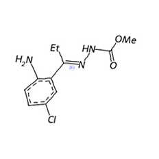 CC/C(=N\NC(=O)OC)c1cc(Cl)ccc1N